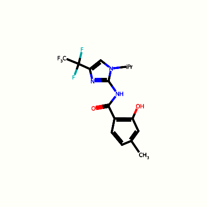 Cc1ccc(C(=O)Nc2nc(C(F)(F)C(F)(F)F)cn2C(C)C)c(O)c1